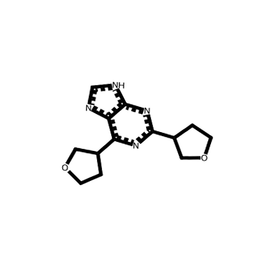 c1nc2c(C3CCOC3)nc(C3CCOC3)nc2[nH]1